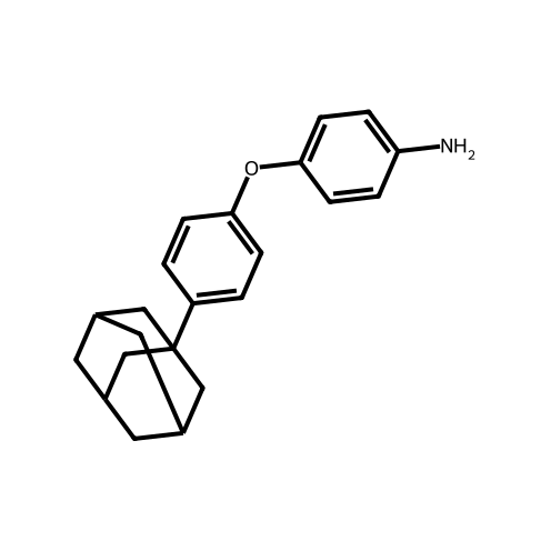 Nc1ccc(Oc2ccc(C34CC5CC(CC(C5)C3)C4)cc2)cc1